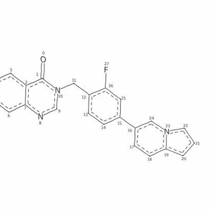 O=c1c2ccccc2ncn1Cc1ccc(-c2ccc3cccn3c2)cc1F